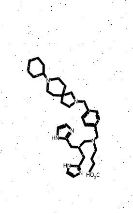 O=C(O)CCCN(Cc1ccc(CN2CCC3(CCN(C4CCCCC4)CC3)C2)cc1)CC(Cc1ncc[nH]1)Cc1ncc[nH]1